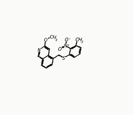 COc1cc2c(CSc3cccc(C)c3[N+](=O)[O-])cccc2cn1